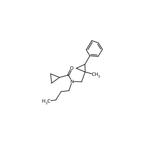 CCCCN(CC1(C)CC1c1ccccc1)C(=O)C1CC1